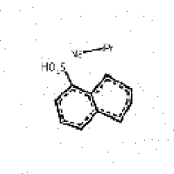 C[CH](C)[Na].O=S(=O)(O)c1cccc2ccccc12